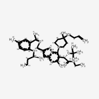 C=CCOC1(C)CCN(c2c([C@H](OC(C)(C)C)C(=O)OCC)c(C)nc3cc(COC(C)c4cc(C)ccc4O[C@@H](C)CC=C)nn23)CC1